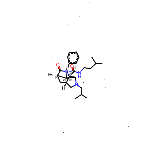 CC(C)CCNC(=O)[C@]12NC(=O)[C@@H]3C[C@H]1CN(CC(C)C)C2[C@@H]3Cc1ccccc1